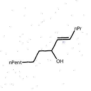 CCC/C=C/C(O)CCCCCCC